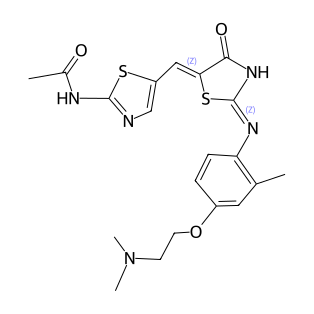 CC(=O)Nc1ncc(/C=C2\S/C(=N\c3ccc(OCCN(C)C)cc3C)NC2=O)s1